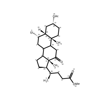 CC[C@H]1CC2C3CC[C@H]([C@H](C)CCC(=O)OC)[C@@]3(C)C(=O)CC2[C@@]2(C)CC[C@@H](OC(C)=O)C[C@@H]12